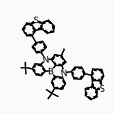 Cc1cc2c3c(c1)N(c1ccc(-c4cccc5sc6ccccc6c45)cc1)c1cc(C(C)(C)C)ccc1B3c1cc(C(C)(C)C)ccc1N2c1ccc(-c2cccc3sc4ccccc4c23)cc1